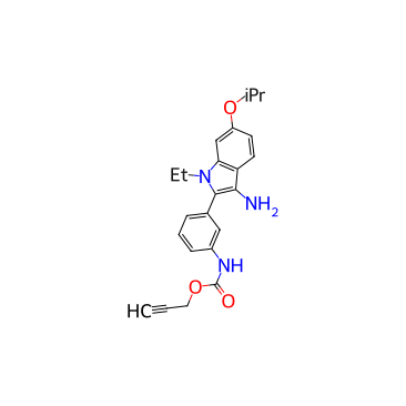 C#CCOC(=O)Nc1cccc(-c2c(N)c3ccc(OC(C)C)cc3n2CC)c1